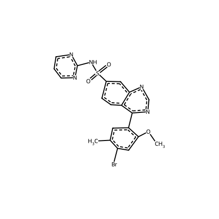 COc1cc(Br)c(C)cc1-c1ncnc2cc(S(=O)(=O)Nc3ncccn3)ccc12